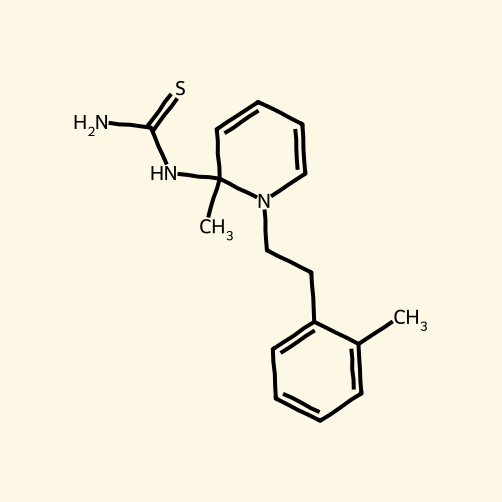 Cc1ccccc1CCN1C=CC=CC1(C)NC(N)=S